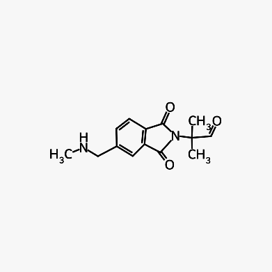 CNCc1ccc2c(c1)C(=O)N(C(C)(C)C=O)C2=O